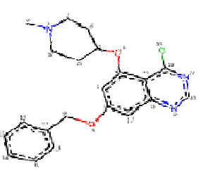 CN1CCC(Oc2cc(OCc3ccccc3)cc3ncnc(Cl)c23)CC1